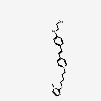 Cn1ccnc1SCCCC[n+]1ccc(/C=C/c2ccc(NCCO)cc2)cc1